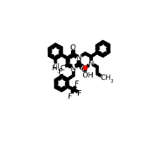 CCCN(C(=O)O)C(Cn1c(=O)c(-c2ccccc2Cl)c(C)n(Cc2c(F)cccc2C(F)(F)F)c1=O)c1ccccc1